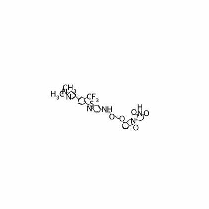 CN(C)c1ccc(-c2ccc(-c3nc4ccc(NCCOCCOc5cccc6c5CN(C5CCC(=O)NC5=O)C6=O)cc4s3)c(C(F)(F)F)c2)cn1